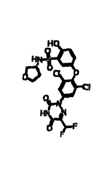 O=c1[nH]c(=O)n(-c2cc(Cl)c(Oc3ccc(O)c(S(=O)(=O)N[C@@H]4CCOC4)c3)c(Cl)c2)nc1C(F)F